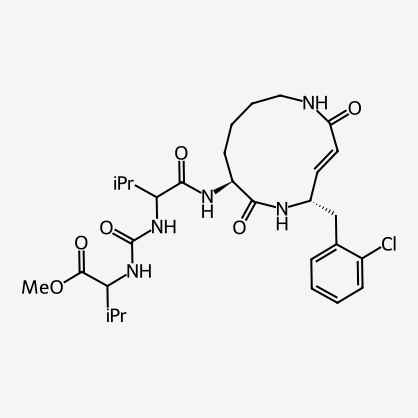 COC(=O)C(NC(=O)NC(C(=O)N[C@H]1CCCCNC(=O)/C=C/[C@H](Cc2ccccc2Cl)NC1=O)C(C)C)C(C)C